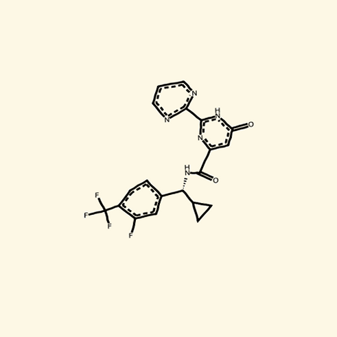 O=C(N[C@@H](c1ccc(C(F)(F)F)c(F)c1)C1CC1)c1cc(=O)[nH]c(-c2ncccn2)n1